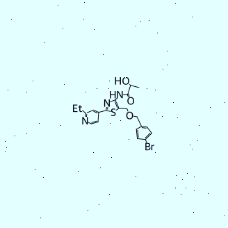 CCc1cc(-c2nc(NC(=O)C(C)O)c(COCc3ccc(Br)cc3)s2)ccn1